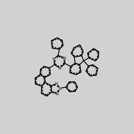 c1ccc(-c2nc(-c3ccc4ccc5ccc6nn(-c7ccccc7)nc6c5c4c3)nc(-c3cccc4c3-c3ccccc3C4(c3ccccc3)c3ccccc3)n2)cc1